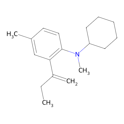 C=C(CC)c1cc(C)ccc1N(C)C1CCCCC1